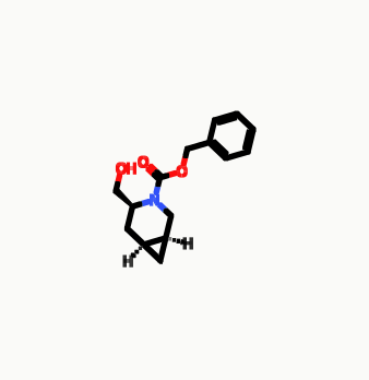 O=C(OCc1ccccc1)N1C[C@H]2C[C@H]2C[C@H]1CO